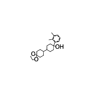 Cc1cccc(C2(O)CCC(C3CCC4(CC3)OCCO4)CC2)c1C